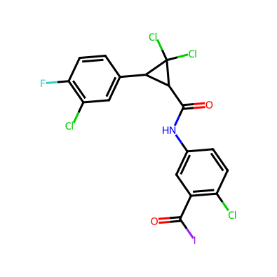 O=C(I)c1cc(NC(=O)C2C(c3ccc(F)c(Cl)c3)C2(Cl)Cl)ccc1Cl